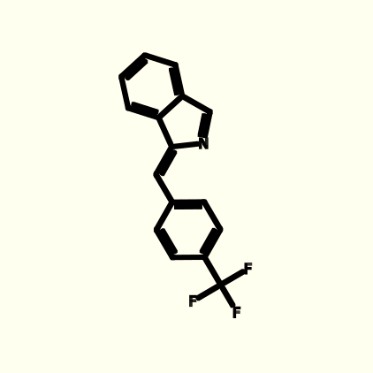 FC(F)(F)c1ccc(C=C2N=Cc3ccccc32)cc1